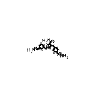 NN=Cc1ccc(Cc2cn(Cc3cccc(C=NN)c3)cc2C(N)=O)cc1